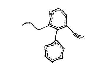 CCCc1nccc(C#N)c1-c1ccccc1